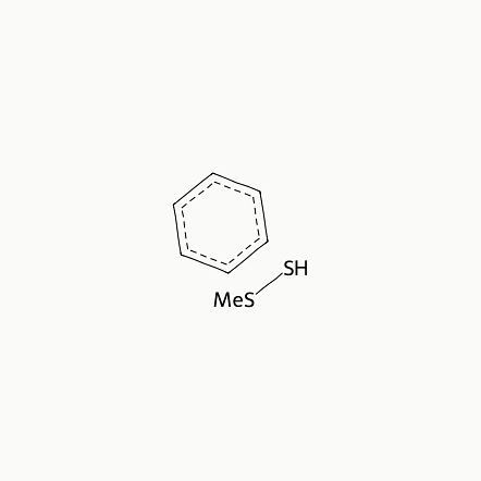 CSS.c1ccccc1